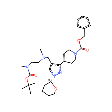 CN(CCN(C)C(=O)OC(C)(C)C)Cc1cn([C@H]2CCCCO2)nc1C1=CCN(C(=O)OCc2ccccc2)CC1